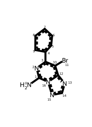 Nc1nc(-c2ccccc2)c(Br)c2ncnn12